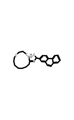 CC(N=C1CCCCCCCCCCCN1)c1ccc2c(ccc3ccccc32)c1